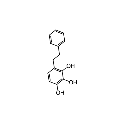 Oc1ccc(CCc2ccccc2)c(O)c1O